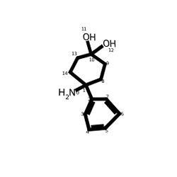 NC1(c2ccccc2)CCC(O)(O)CC1